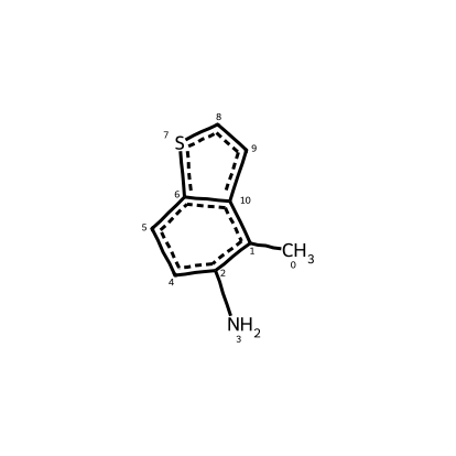 Cc1c(N)ccc2sccc12